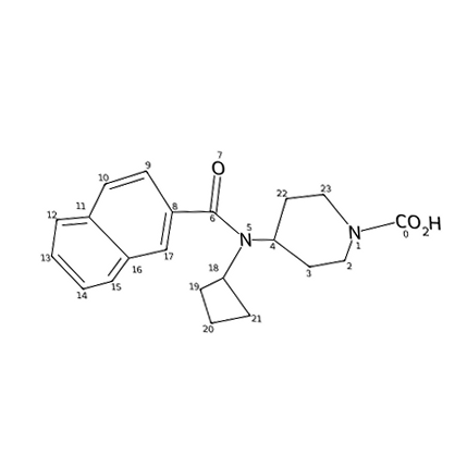 O=C(O)N1CCC(N(C(=O)c2ccc3ccccc3c2)C2CCC2)CC1